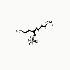 CCCCCC(CCC)CO[SH](=O)=O